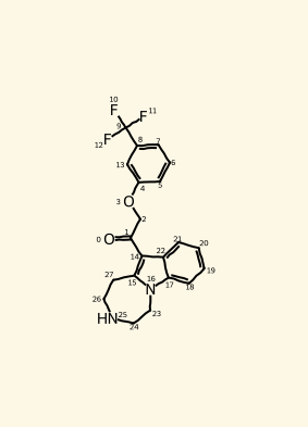 O=C(COc1cccc(C(F)(F)F)c1)c1c2n(c3ccccc13)CCNCC2